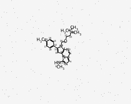 CNc1ncc2cnc3c(cc(-c4ccc(C)cc4)n3COCC[Si](C)(C)C)n12